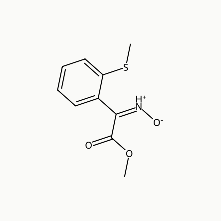 COC(=O)C(=[NH+][O-])c1ccccc1SC